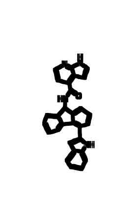 O=C(NC1c2ccccc2-c2c(-c3cc4ccccc4[nH]3)cccc21)c1ccnc2[nH]ccc12